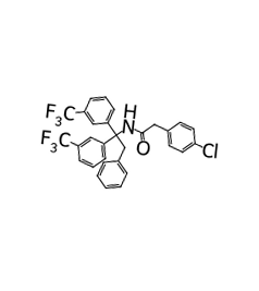 O=C(Cc1ccc(Cl)cc1)NC(Cc1ccccc1)(c1cccc(C(F)(F)F)c1)c1cccc(C(F)(F)F)c1